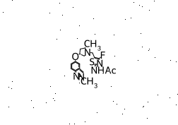 CC(=O)Nc1nc(F)c(CN2CC(Oc3ccc4nn(C)cc4c3)CC2C)s1